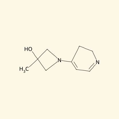 CC1(O)CN(C2=CC=NCC2)C1